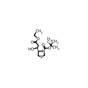 CCOC(=O)CC(O)[C@@H]1CSCN1C(=O)OC(C)(C)C